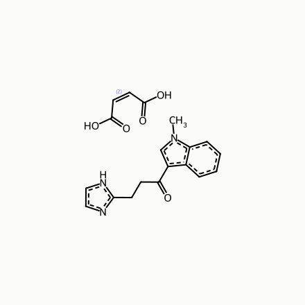 Cn1cc(C(=O)CCc2ncc[nH]2)c2ccccc21.O=C(O)/C=C\C(=O)O